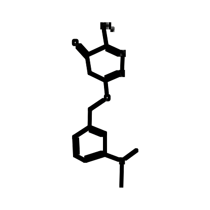 CN(C)c1cccc(COC2=NN=C(N)C(=O)C2)c1